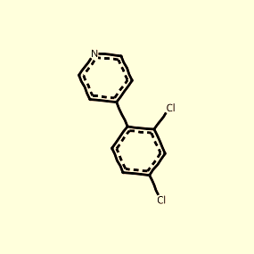 Clc1ccc(-c2ccncc2)c(Cl)c1